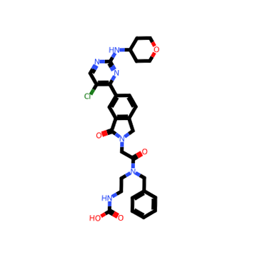 O=C(O)NCCN(Cc1ccccc1)C(=O)CN1Cc2ccc(-c3nc(NC4CCOCC4)ncc3Cl)cc2C1=O